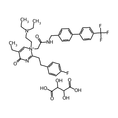 CCC1=C[N+](CCN(CC)CC)(CC(=O)NCc2ccc(-c3ccc(C(F)(F)F)cc3)cc2)C(CCc2ccc(F)cc2)=NC1=O.O=C(O)C(O)C(O)C(=O)O